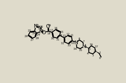 CC[C@H]1CC[C@@H](N2CCN(c3ccc(-c4ccc(C(=O)On5nnc6ccccc65)cc4)cc3)CC2)CC1